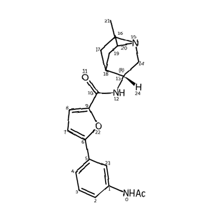 CC(=O)Nc1cccc(-c2ccc(C(=O)N[C@H]3CN4CCC3CC4C)o2)c1